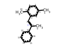 C/C(=C\c1cc(C)ccc1C)c1ccccc1